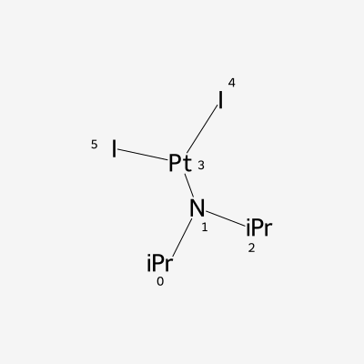 CC(C)[N](C(C)C)[Pt]([I])[I]